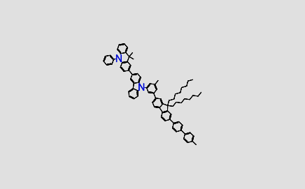 CCCCCCCCC1(CCCCCCCC)c2cc(-c3ccc(-c4ccc(C)cc4)cc3)ccc2-c2ccc(-c3cc(C)cc(-n4c5ccccc5c5cc(-c6ccc7c(c6)C(C)(C)c6ccccc6N7c6ccccc6)ccc54)c3)cc21